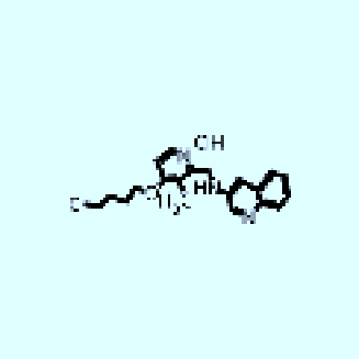 Cc1c(OCCCCCl)ccnc1CNc1cnc2ccccc2c1.Cl